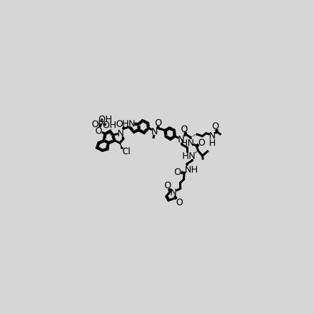 CCCN(C(=O)[C@H](CCCNC(C)=O)NC(=O)[C@@H](NCCNC(=O)CCCN1C(=O)C=CC1=O)C(C)C)c1ccc(C(=O)N(C)c2ccc3[nH]c(C(=O)N4C[C@@H](CCl)c5c4cc(OP(=O)(O)O)c4ccccc54)cc3c2)cc1